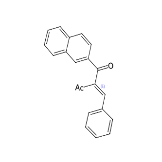 CC(=O)/C(=C\c1ccccc1)C(=O)c1ccc2ccccc2c1